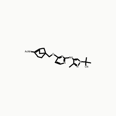 CC(=O)NC1=C2CC(COc3ccnc(Nc4cn(C(C)(C)C#N)nc4C)n3)(CC1)C2